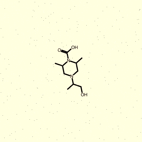 CC(CO)N1CC(C)N(C(=O)O)C(C)C1